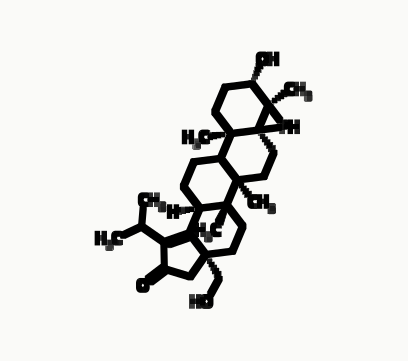 CC(C)C1=C2[C@H]3CCC4[C@@]5(C)CC[C@H](O)[C@@]6(C)P[C@@]56CC[C@@]4(C)[C@]3(C)CC[C@@]2(CO)CC1=O